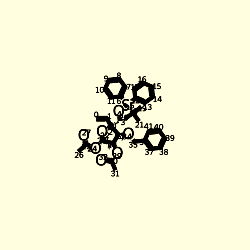 C=C[C@]1(CO[Si](c2ccccc2)(c2ccccc2)C(C)(C)C)O[C@@H](OC(C)=O)[C@H](OC(C)=O)[C@@H]1OCc1ccccc1